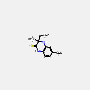 COc1ccc2c(c1)NC(CSC)(C(=O)O)C(=S)N2